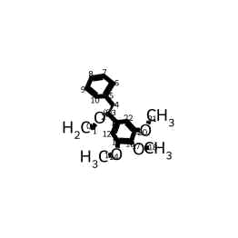 C=CO[C@@H](Cc1ccccc1)c1cc(OC)c(OC)c(OC)c1